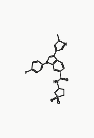 Cn1cc(-c2cn(-c3ccc(F)cc3)c3cc(C(=O)NC4CCS(=O)(=O)C4)ccc23)cn1